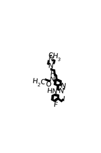 C=CC(=O)Nc1cc2c(Nc3ccc(F)c(CI)c3)ncnc2cc1/C=C/CCN1CCN(C)CC1